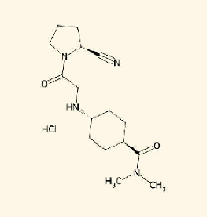 CN(C)C(=O)[C@H]1CC[C@H](NCC(=O)N2CCC[C@H]2C#N)CC1.Cl